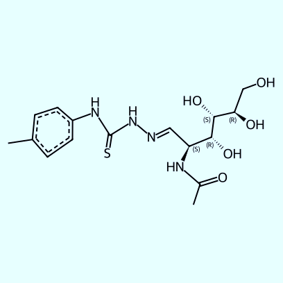 CC(=O)N[C@@H](C=NNC(=S)Nc1ccc(C)cc1)[C@@H](O)[C@H](O)[C@H](O)CO